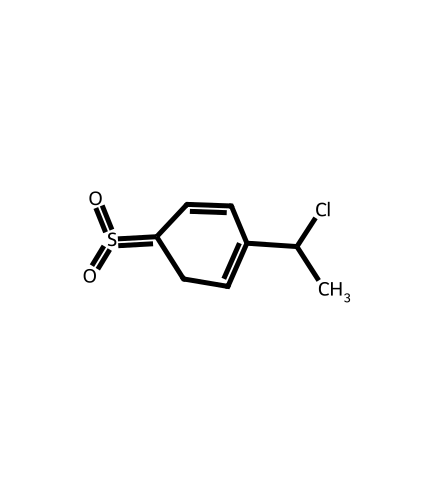 CC(Cl)C1=CCC(=S(=O)=O)C=C1